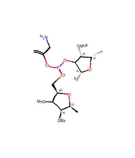 C=C(CN)OP(OC[C@H]1O[C@@H](C)[C@@H](OC)C1OC)OC1[C@@H](CC)O[C@@H](C)[C@H]1OC